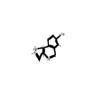 N#Cc1ccc2c(cnc3cn[nH]c32)c1